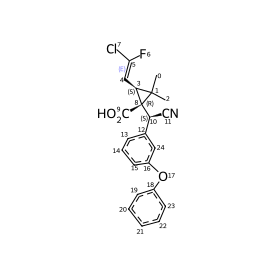 CC1(C)[C@H](/C=C(\F)Cl)[C@@]1(C(=O)O)[C@@H](C#N)c1cccc(Oc2ccccc2)c1